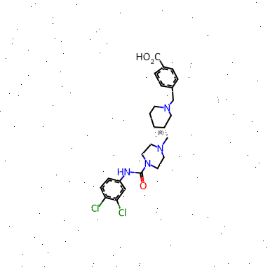 O=C(O)c1ccc(CN2CCC[C@@H](CN3CCN(C(=O)Nc4ccc(Cl)c(Cl)c4)CC3)C2)cc1